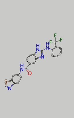 O=C(Nc1ccc2ncsc2c1)c1ccc2[nH]c(Nc3ccccc3C(F)(F)F)nc2c1